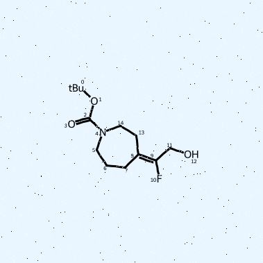 CC(C)(C)OC(=O)N1CCC/C(=C(\F)CO)CC1